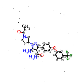 C=CC(=O)N1CCC(n2nc(-c3ccc(Oc4cccc(C(F)(F)F)c4)cc3)c(C(N)=O)c2N)C1